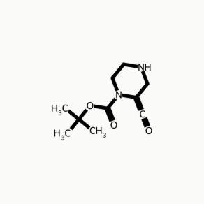 CC(C)(C)OC(=O)N1CCNCC1=C=O